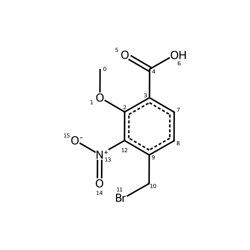 COc1c(C(=O)O)ccc(CBr)c1[N+](=O)[O-]